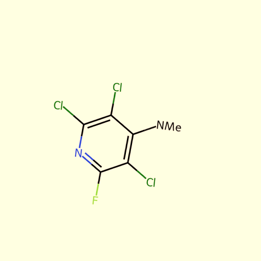 CNc1c(Cl)c(F)nc(Cl)c1Cl